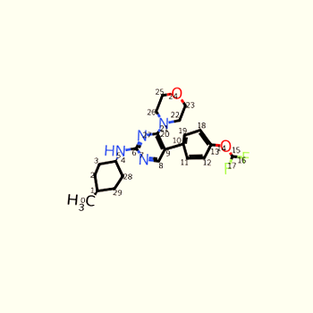 C[C@H]1CC[C@H](Nc2ncc(-c3ccc(OC(F)F)cc3)c(N3CCOCC3)n2)CC1